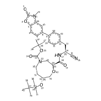 Cn1c(=O)oc2ccc(-c3ccc(C[C@@H](C#N)NC(=O)[C@@H]4CN(C(=O)OC(C)(C)C)CC[C@@H](O[Si](C)(C)C(C)(C)C)CO4)cc3)cc21